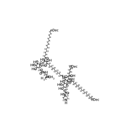 CCCCCCCCCCCCCCCCCCCCCCCCCC(=O)NC(CO[C@H]1O[C@H](COC(=O)NCCN(C)C)[C@H](O)[C@H](O)[C@H]1O)C(O)C(O)CCCCCCCCCCCCCCC(O[C@H]1O[C@H](COC(=O)NC2CCNCC2)[C@H](O)[C@H](O)[C@H]1O)[C@@H](NC(=O)CCCCCCCCCCCCCCCCCCCCCCCCC)[C@H](O)[C@H](O)CCCCCCCCCCCCCC